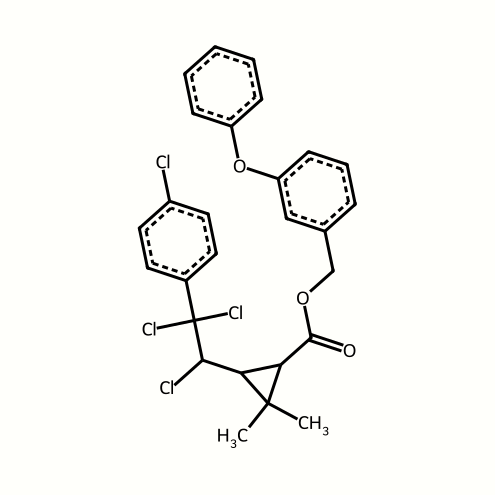 CC1(C)C(C(=O)OCc2cccc(Oc3ccccc3)c2)C1C(Cl)C(Cl)(Cl)c1ccc(Cl)cc1